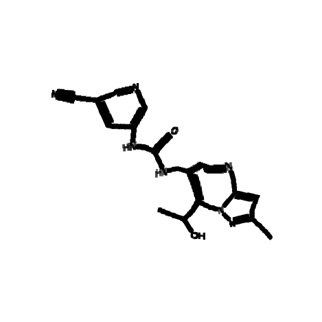 Cc1cc2ncc(NC(=O)Nc3cncc(C#N)c3)c(C(C)O)n2n1